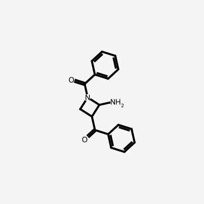 NC1C(C(=O)c2ccccc2)CN1C(=O)c1ccccc1